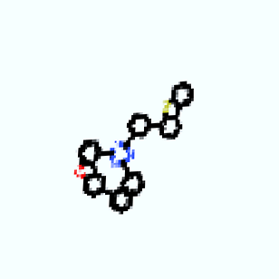 c1ccc(-c2ccc3oc4cccc(-c5nc(-c6ccccc6)nc(-c6cccc(-c7cccc8c7sc7ccccc78)c6)n5)c4c3c2)cc1